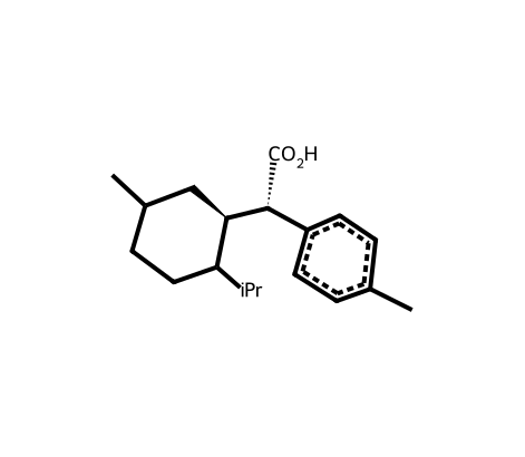 Cc1ccc([C@@H](C(=O)O)[C@@H]2CC(C)CCC2C(C)C)cc1